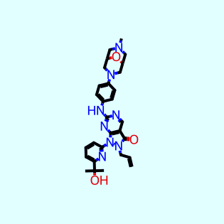 C=CCn1c(=O)c2cnc(Nc3ccc(N4CC5CN(C)CC(C4)O5)cc3)nc2n1-c1cccc(C(C)(C)O)n1